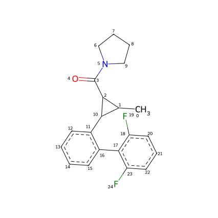 CC1C(C(=O)N2CCCC2)C1c1ccccc1-c1c(F)cccc1F